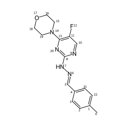 Cc1ccc(/C=N/Nc2ncc(F)c(N3CCOCC3)n2)cc1